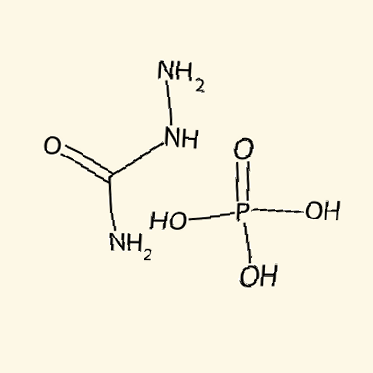 NNC(N)=O.O=P(O)(O)O